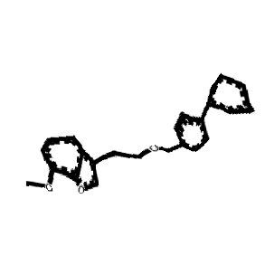 COc1cccc2c(CCOCc3ccc(-c4ccccc4)cc3)coc12